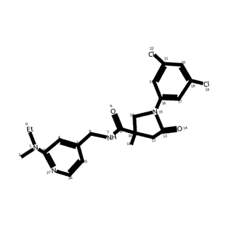 CCN(C)c1cc(CNC(=O)C2(C)CC(=O)N(c3cc(Cl)cc(Cl)c3)C2)ccn1